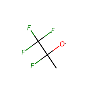 CC([O])(F)C(F)(F)F